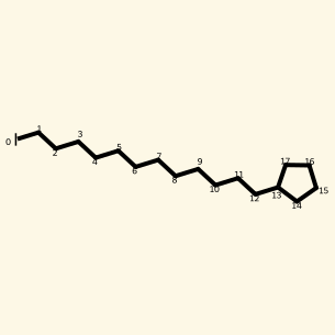 ICCCCCCCCCCCCC1CCCC1